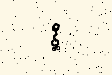 O=S1(=O)CCN(CCC2CC3CCC2C3)CC1